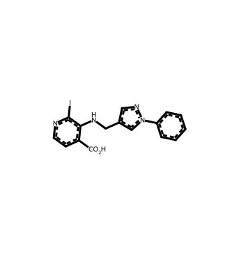 O=C(O)c1ccnc(I)c1NCc1cnn(-c2ccccc2)c1